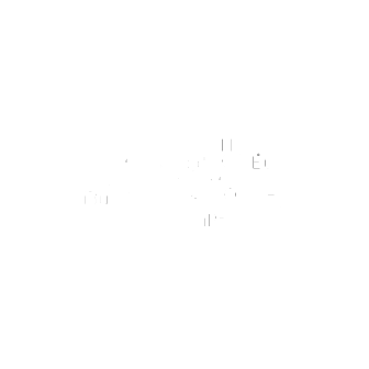 CCC(CC)OC(C)(CC(C)C)Oc1ccc(C(C)CC)cc1